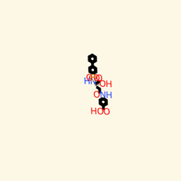 O=C(CC[C@H](NS(=O)(=O)c1ccc(-c2ccccc2)cc1)C(=O)O)Nc1ccc(C(=O)O)cc1